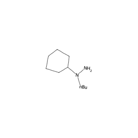 CCCCN(N)C1CCCCC1